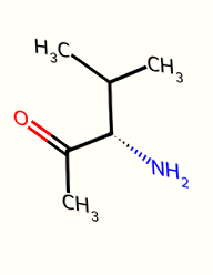 CC(=O)[C@@H](N)C(C)C